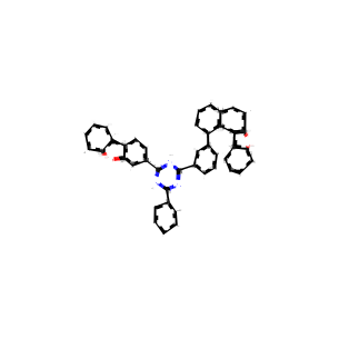 c1ccc(-c2nc(-c3cccc(-c4cccc5ccc6oc7ccccc7c6c45)c3)nc(-c3ccc4c(c3)oc3ccccc34)n2)cc1